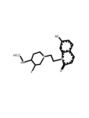 N#Cc1ccc2ccc(=O)n(CCN3CCC(NC(=O)O)C(F)C3)c2c1